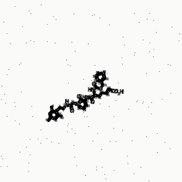 Cc1cc(C)c(CCNC(=O)Cn2cccc(NC(=O)C(CCC=CC(=O)O)NC(=O)OCc3ccccc3)c2=O)c(C)c1